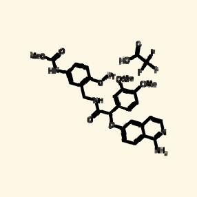 COC(=O)Nc1ccc(OC(C)C)c(CNC(=O)C(Oc2ccc3c(N)nccc3c2)c2ccc(OC)c(OC)c2)c1.O=C(O)C(F)(F)F